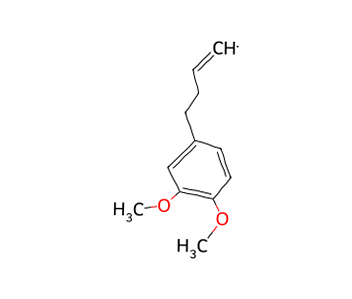 [CH]=CCCc1ccc(OC)c(OC)c1